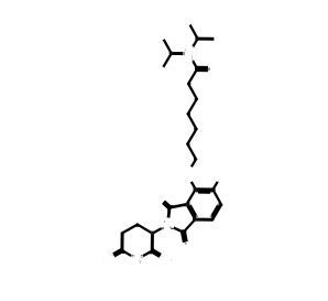 CC(C)N(C(=O)CCCCCCSc1c(F)ccc2c1C(=O)N(C1CCC(=O)NC1=O)C2=O)C(C)C